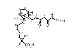 CCCCCNC(=O)CC(=O)NC[C@H]1[C@@H](C/C=C\CCC(F)(F)C(=O)O)[C@H]2CC[C@@H]1O2